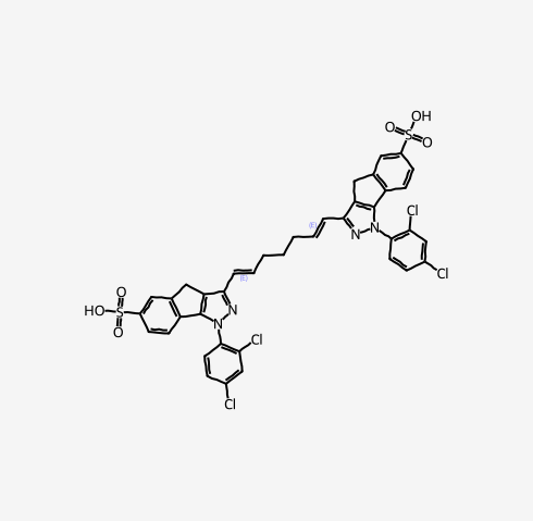 O=S(=O)(O)c1ccc2c(c1)Cc1c(/C=C/CCC/C=C/c3nn(-c4ccc(Cl)cc4Cl)c4c3Cc3cc(S(=O)(=O)O)ccc3-4)nn(-c3ccc(Cl)cc3Cl)c1-2